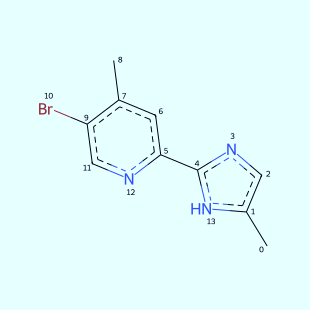 Cc1cnc(-c2cc(C)c(Br)cn2)[nH]1